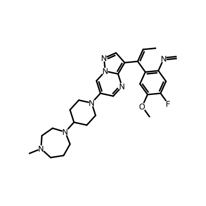 C=Nc1cc(F)c(OC)cc1/C(=C\C)c1cnn2cc(N3CCC(N4CCCN(C)CC4)CC3)cnc12